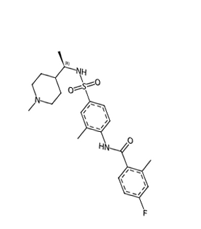 Cc1cc(S(=O)(=O)N[C@H](C)C2CCN(C)CC2)ccc1NC(=O)c1ccc(F)cc1C